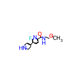 COCCNC(=O)c1ccc(C2=CCNCC2)c(F)n1